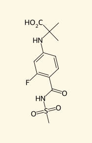 CC(C)(Nc1ccc(C(=O)NS(C)(=O)=O)c(F)c1)C(=O)O